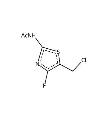 CC(=O)Nc1nc(F)c(CCl)s1